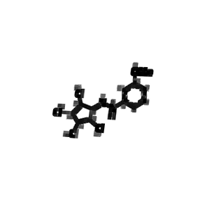 COc1cccc(NN=C2C(Cl)=C(Cl)C(Cl)=C2Cl)c1